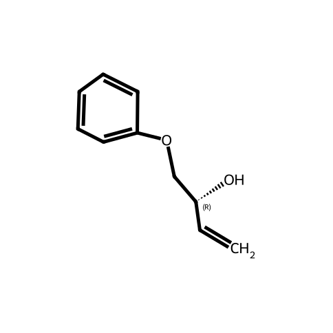 C=C[C@@H](O)COc1ccccc1